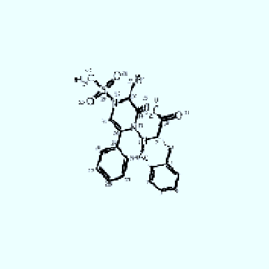 CC(=O)N([C@@H](Cc1ccccc1)C(=O)C(=O)O)N1C(=O)C(C(C)C)N(S(C)(=O)=O)C=C1c1ccccc1